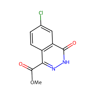 COC(=O)c1n[nH]c(=O)c2cc(Cl)ccc12